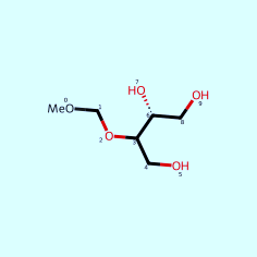 COCOC(CO)[C@H](O)CO